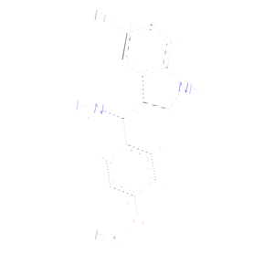 COc1ccc(C(N)=C2CNc3ccc(Br)cc32)cc1